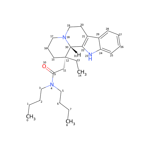 CCCCN(CCCC)C(=O)C[C@]1(CC)CCCN2CCc3c([nH]c4ccccc34)[C@@H]21